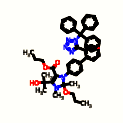 CCCOC(=O)C1=C(C(C)(C)O)N(C)C(C)(OCCC)N1c1ccc(-c2ccccc2-c2nnnn2C(c2ccccc2)(c2ccccc2)c2ccccc2)cc1